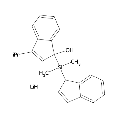 CC(C)C1=CC(O)([Si](C)(C)C2C=Cc3ccccc32)c2ccccc21.[LiH]